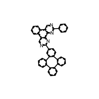 c1ccc(-c2ncc3c4ccccc4c4cnc(-c5ccc6c(c5)-c5ccccc5-c5ccccc5-c5ccccc5-6)nc4c3n2)cc1